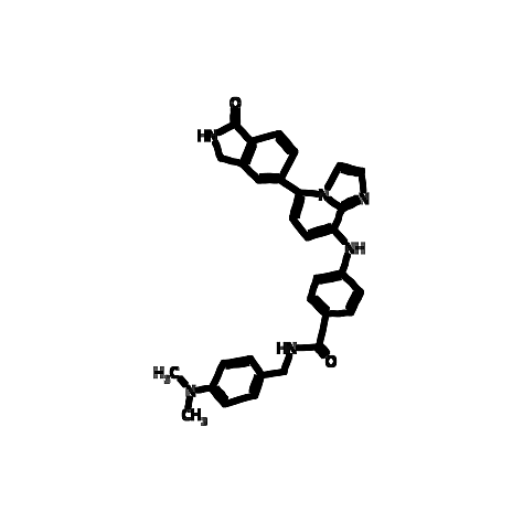 CN(C)c1ccc(CNC(=O)c2ccc(Nc3ccc(-c4ccc5c(c4)CNC5=O)n4ccnc34)cc2)cc1